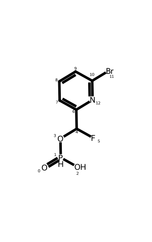 O=[PH](O)OC(F)c1cccc(Br)n1